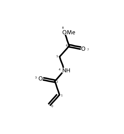 C=CC(=O)NCC(=O)OC